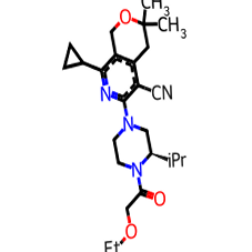 CCOCC(=O)N1CCN(c2nc(C3CC3)c3c(c2C#N)CC(C)(C)OC3)C[C@H]1C(C)C